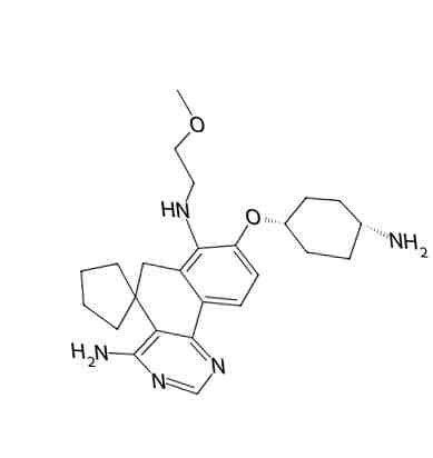 COCCNc1c(O[C@H]2CC[C@@H](N)CC2)ccc2c1CC1(CCCC1)c1c(N)ncnc1-2